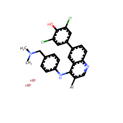 Br.Br.CC(=O)c1cnc2ccc(-c3cc(Cl)c(O)c(Cl)c3)cc2c1Nc1ccc(CN(C)C)cc1